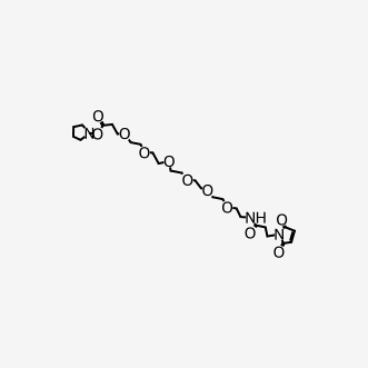 O=C(CCN1C(=O)C=CC1=O)NCCOCCOCCOCCOCCOCCOCCC(=O)ON1CCCC1